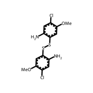 COc1cc(SSc2cc(OC)c(Cl)cc2N)c(N)cc1Cl